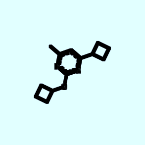 Cc1cc(C2CCC2)nc(OC2CCC2)n1